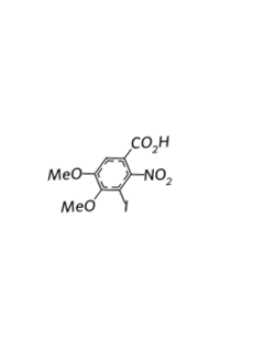 COc1cc(C(=O)O)c([N+](=O)[O-])c(I)c1OC